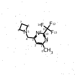 Cc1cc(CN2CCC2)nc(C(F)(F)F)n1